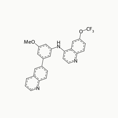 COc1cc(Nc2ccnc3ccc(OC(F)(F)F)cc23)cc(-c2ccc3ncccc3c2)c1